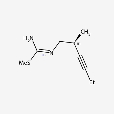 CCC#C[C@H](C)C/N=C(\N)SC